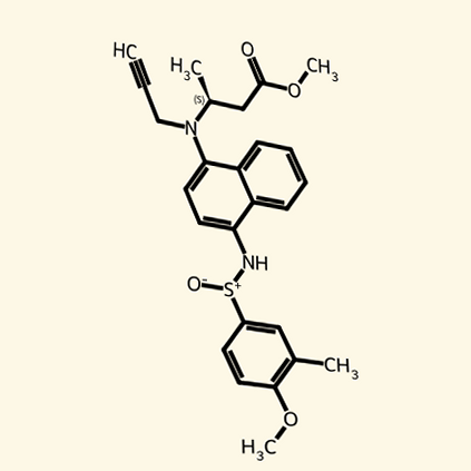 C#CCN(c1ccc(N[S+]([O-])c2ccc(OC)c(C)c2)c2ccccc12)[C@@H](C)CC(=O)OC